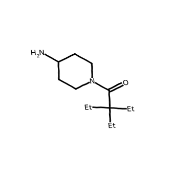 CCC(CC)(CC)C(=O)N1CCC(N)CC1